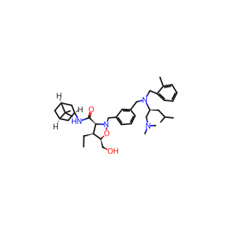 CC[C@@H]1[C@H](CO)ON(Cc2cccc(CN(Cc3ccccc3C)[C@@H](CC(C)C)CN(C)C)c2)[C@@H]1C(=O)N[C@@H]1C[C@@H]2C[C@H](C1)C2(C)C